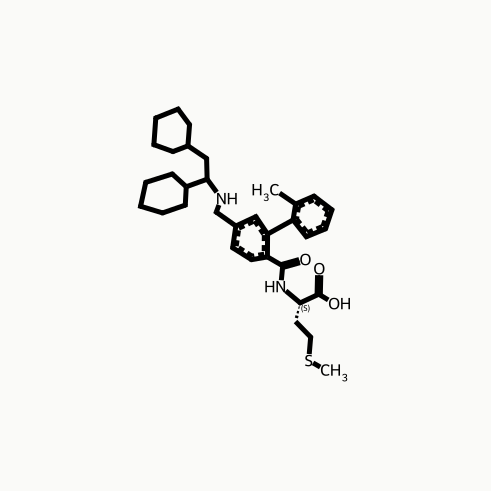 CSCC[C@H](NC(=O)c1ccc(CNC(CC2CCCCC2)C2CCCCC2)cc1-c1ccccc1C)C(=O)O